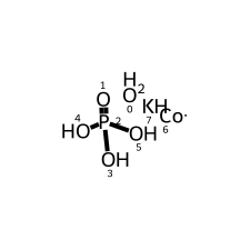 O.O=P(O)(O)O.[Co].[KH]